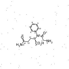 NCC(=O)N(c1ccccc1)[C@H](CCC(N)=O)C(=O)O